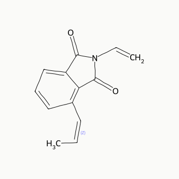 C=CN1C(=O)c2cccc(/C=C\C)c2C1=O